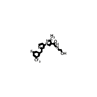 Cc1nn(-c2ccnc(Cc3cc(F)cc(C(F)(F)F)c3)c2)cc1C(=O)CNCCO